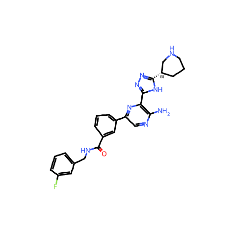 Nc1ncc(-c2cccc(C(=O)NCc3cccc(F)c3)c2)nc1-c1nnc([C@H]2CCCNC2)[nH]1